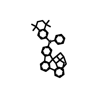 CC1(C)CCC(C)(C)c2cc(N(c3ccccc3)c3ccc4c(c3)C3(c5c(-c6ccccc6)cccc5-4)C4CC5CC6CC3C64C5)ccc21